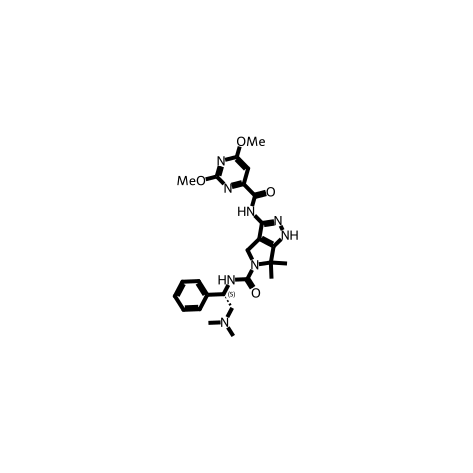 COc1cc(C(=O)Nc2n[nH]c3c2CN(C(=O)N[C@H](CN(C)C)c2ccccc2)C3(C)C)nc(OC)n1